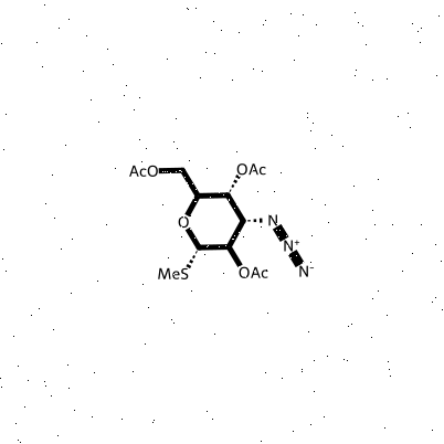 CS[C@@H]1OC(COC(C)=O)[C@H](OC(C)=O)[C@H](N=[N+]=[N-])C1OC(C)=O